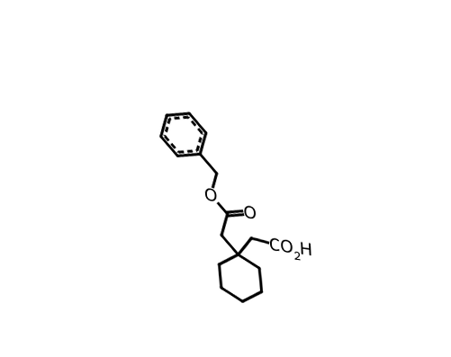 O=C(O)CC1(CC(=O)OCc2ccccc2)CCCCC1